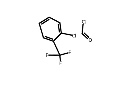 FC(F)(F)c1ccccc1Cl.O=CCl